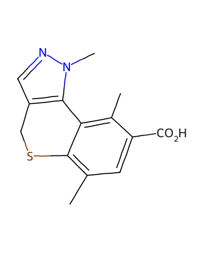 Cc1cc(C(=O)O)c(C)c2c1SCc1cnn(C)c1-2